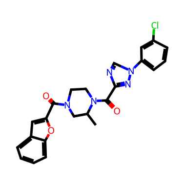 CC1CN(C(=O)c2cc3ccccc3o2)CCN1C(=O)c1ncn(-c2cccc(Cl)c2)n1